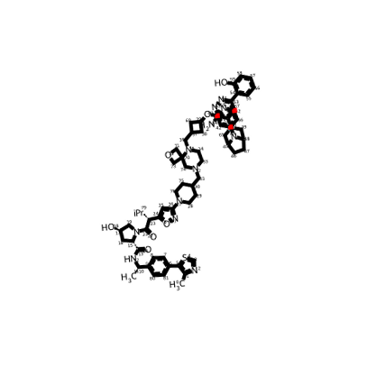 Cc1ncsc1-c1ccc([C@H](C)NC(=O)[C@@H]2C[C@@H](O)CN2C(=O)[C@@H](c2cc(N3CCC(CN4CCN(CC5CC(Oc6cc(N7C8CCC7CN(c7cc(-c9ccccc9O)nnc7N)C8)ccn6)C5)C5(COC5)C4)CC3)no2)C(C)C)cc1